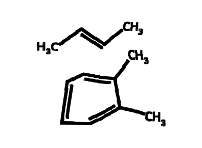 CC=CC.Cc1ccccc1C